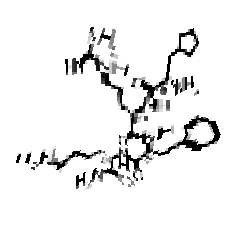 N=C(N)NCCC[C@@H](NC(=O)[C@@H](N)CC1CCCC1)C(=O)N[C@@H](Cc1ccccc1)C(=O)N[C@@H](CCCCN)C(N)=O